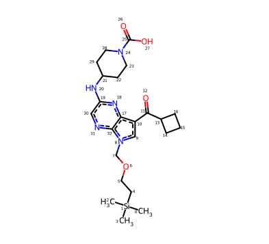 C[Si](C)(C)CCOCn1cc(C(=O)C2CCC2)c2nc(NC3CCN(C(=O)O)CC3)cnc21